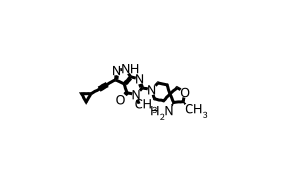 C[C@@H]1OCC2(CCN(c3nc4[nH]nc(C#CC5CC5)c4c(=O)n3C)CC2)[C@@H]1N